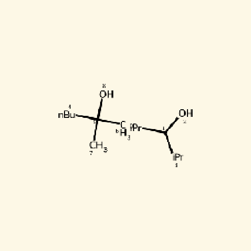 CC(C)C(O)C(C)C.CCCCC(C)(C)O